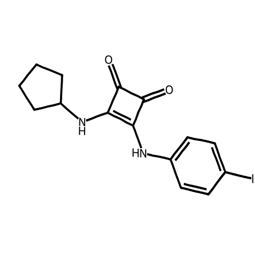 O=c1c(Nc2ccc(I)cc2)c(NC2CCCC2)c1=O